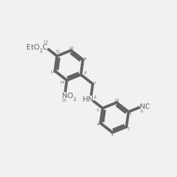 [C-]#[N+]c1cccc(NCc2ccc(C(=O)OCC)cc2[N+](=O)[O-])c1